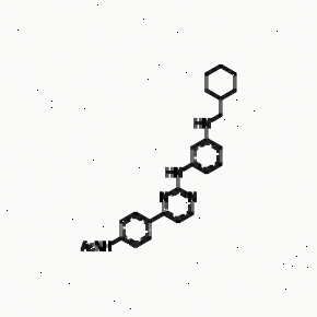 CC(=O)Nc1ccc(-c2ccnc(Nc3cccc(NCC4CCCCC4)c3)n2)cc1